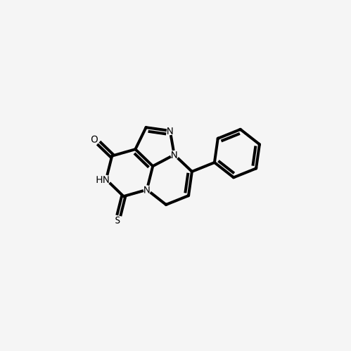 O=c1[nH]c(=S)n2c3c1cnn3C(c1ccccc1)=CC2